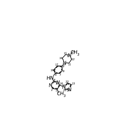 Cc1cnc(Nc2ccc(N3CCN(C)CC3)cc2)nc1-n1ccnc1